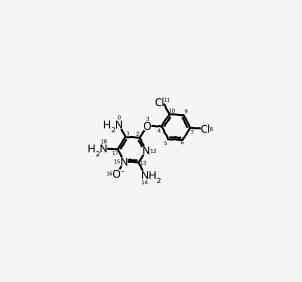 Nc1c(Oc2ccc(Cl)cc2Cl)nc(N)[n+]([O-])c1N